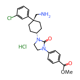 COC(=O)c1ccc(N2CCN([C@H]3CC[C@@](CN)(c4cccc(Cl)c4)CC3)C2=O)cc1.Cl